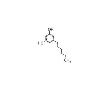 C=CCCCCc1cc(O)cc(O)c1